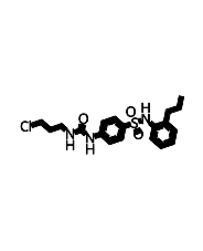 CCCc1ccccc1NS(=O)(=O)c1ccc(NC(=O)NCCCCl)cc1